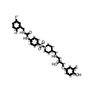 O=C(NCc1cc(F)ccc1F)Nc1ccc(S(=O)(=O)N2CCC(CNC[C@H](O)COc3ccc(O)c(F)c3)CC2)cc1